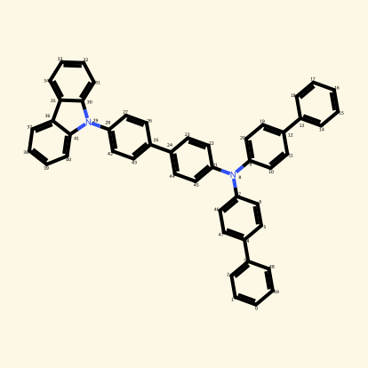 c1ccc(-c2ccc(N(c3ccc(-c4ccccc4)cc3)c3ccc(-c4ccc(-n5c6ccccc6c6ccccc65)cc4)cc3)cc2)cc1